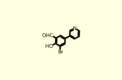 O=Cc1cc(-c2cccnc2)cc(Br)c1O